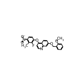 COc1ccccc1COc1ccc2c(Oc3ccc([N+](=O)[O-])c(C)c3F)ccnc2c1